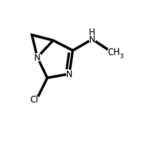 CNC1=NC(Cl)N2CC12